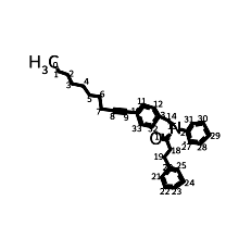 CCCCCCCCC#Cc1ccc(CN(C(=O)CCc2ccccc2)c2[c]cccc2)cc1